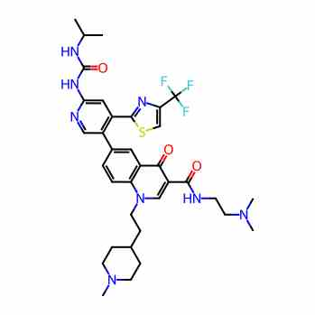 CC(C)NC(=O)Nc1cc(-c2nc(C(F)(F)F)cs2)c(-c2ccc3c(c2)c(=O)c(C(=O)NCCN(C)C)cn3CCC2CCN(C)CC2)cn1